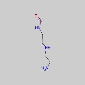 NCCNCCNP=O